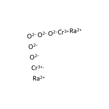 [Cr+3].[Cr+3].[O-2].[O-2].[O-2].[O-2].[O-2].[Ra+2].[Ra+2]